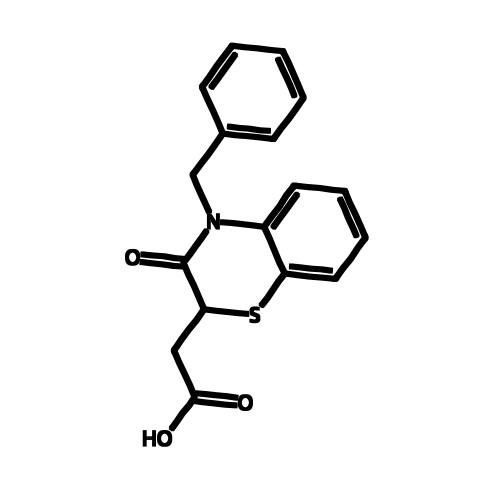 O=C(O)CC1Sc2ccccc2N(Cc2ccccc2)C1=O